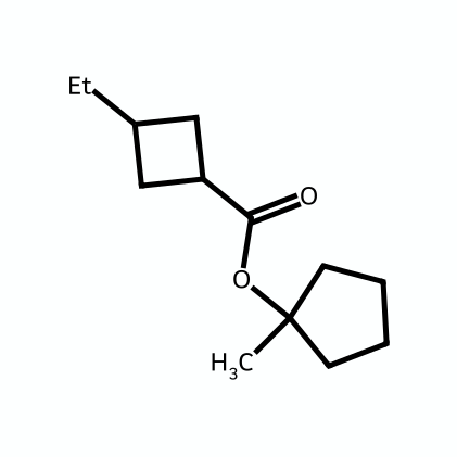 CCC1CC(C(=O)OC2(C)CCCC2)C1